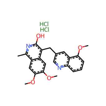 COc1cc2c(C)nc(O)c(Cc3cnc4cccc(OC)c4c3)c2cc1OC.Cl.Cl